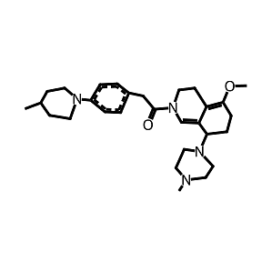 COC1=C2CCN(C(=O)Cc3ccc(N4CCC(C)CC4)cc3)C=C2C(N2CCN(C)CC2)CC1